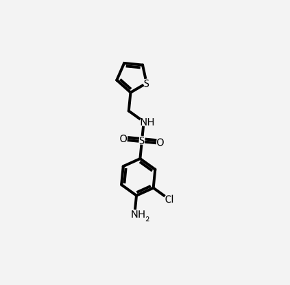 Nc1ccc(S(=O)(=O)NCc2cccs2)cc1Cl